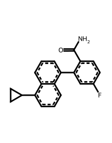 NC(=O)c1ccc(F)cc1-c1cccc2c(C3CC3)cccc12